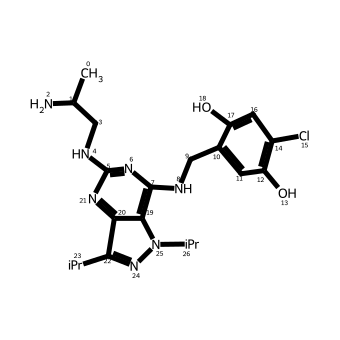 CC(N)CNc1nc(NCc2cc(O)c(Cl)cc2O)c2c(n1)c(C(C)C)nn2C(C)C